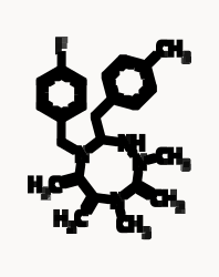 C=C1C(=C)N(Cc2ccc(F)cc2)C(Cc2ccc(C)cc2)NN(C)C(=C)N1C